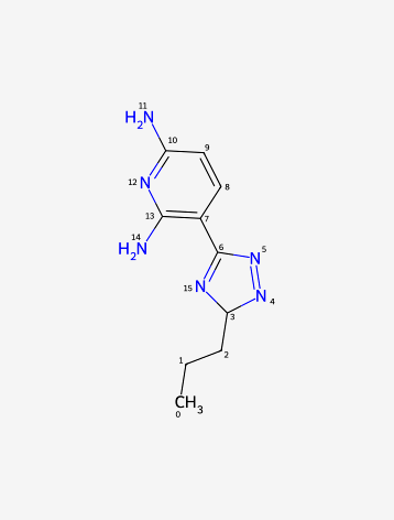 CCCC1N=NC(c2ccc(N)nc2N)=N1